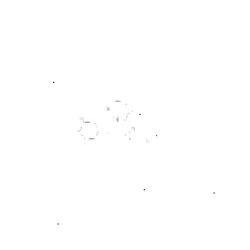 CC(C)CC(N)C(=O)NC(C=O)Cc1ccccc1